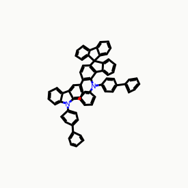 c1ccc(-c2ccc(N(c3ccccc3)c3c(-c4ccc5c(c4)c4ccccc4n5-c4ccc(-c5ccccc5)cc4)ccc4c3-c3ccccc3C43c4ccccc4-c4ccccc43)cc2)cc1